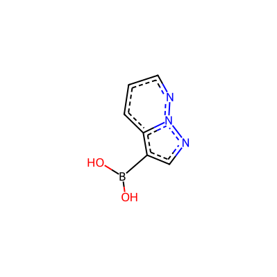 OB(O)c1cnn2ncccc12